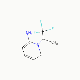 CC(N1CC=CC=C1N)C(F)(F)F